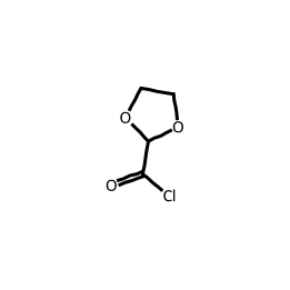 O=C(Cl)C1OCCO1